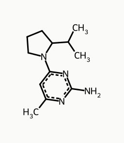 Cc1cc(N2CCCC2C(C)C)nc(N)n1